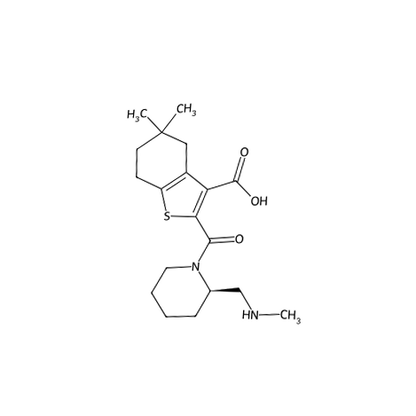 CNC[C@H]1CCCCN1C(=O)c1sc2c(c1C(=O)O)CC(C)(C)CC2